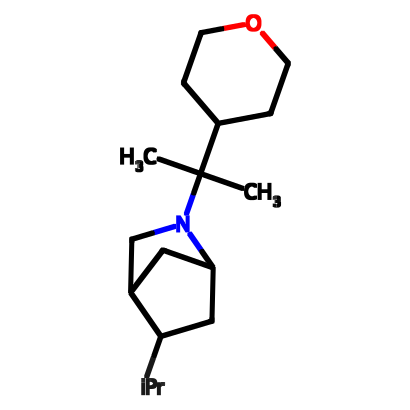 CC(C)C1CC2CC1CN2C(C)(C)C1CCOCC1